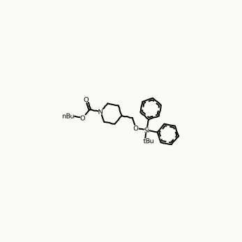 CCCCOC(=O)N1CCC(CO[Si](c2ccccc2)(c2ccccc2)C(C)(C)C)CC1